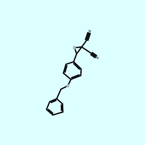 N#CC1(C#N)OC1c1ccc(OCc2ccccc2)cc1